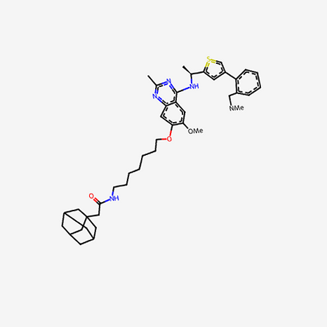 CNCc1ccccc1-c1csc([C@H](C)Nc2nc(C)nc3cc(OCCCCCCCNC(=O)CC45CC6CC(CC(C6)C4)C5)c(OC)cc23)c1